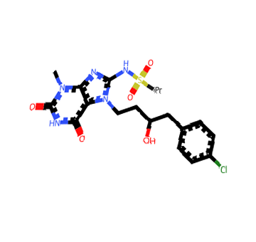 CC(C)S(=O)(=O)Nc1nc2c(c(=O)[nH]c(=O)n2C)n1CCC(O)Cc1ccc(Cl)cc1